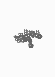 COC(=O)NC(C(=O)NCCC(O)C(NC(=O)C(N1CCN(Cc2ccccc2N)C1=O)C(C)(C)C)C(Cc1ccc(-c2ccccn2)cc1)c1ccccc1)C(C)(C)C